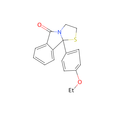 CCOc1ccc(C23SCCN2C(=O)c2ccccc23)cc1